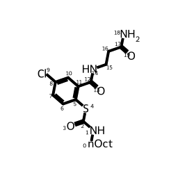 CCCCCCCCNC(=O)Sc1ccc(Cl)cc1C(=O)NCCC(N)=O